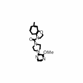 COc1nccnc1N1CCN(C(=O)N2CCOC3=C2CC=CC(C)=C3)CC1